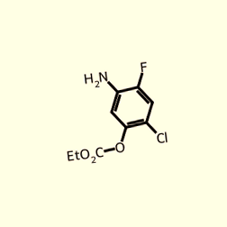 CCOC(=O)Oc1cc(N)c(F)cc1Cl